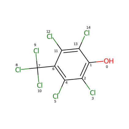 Oc1c(Cl)c(Cl)c(C(Cl)(Cl)Cl)c(Cl)c1Cl